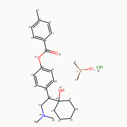 C[S+](C)[O-].Cc1ccc(C(=O)Oc2ccc(C(CN(C)C)C3(O)CCCCC3)cc2)cc1.Cl